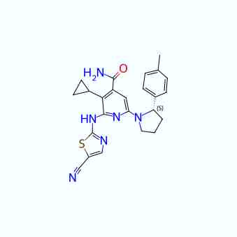 Cc1ccc([C@@H]2CCCN2c2cc(C(N)=O)c(C3CC3)c(Nc3ncc(C#N)s3)n2)cc1